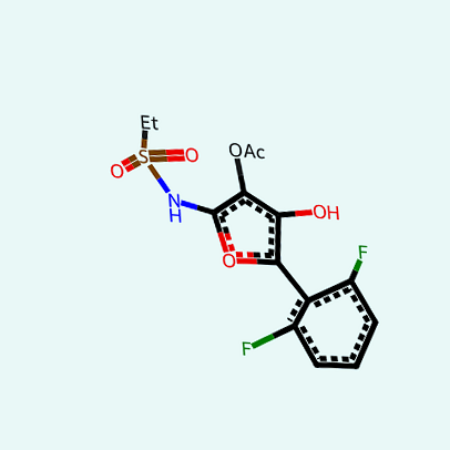 CCS(=O)(=O)Nc1oc(-c2c(F)cccc2F)c(O)c1OC(C)=O